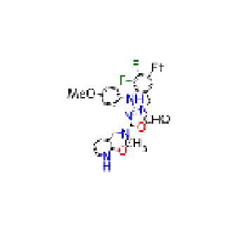 CCc1cc(CN(C=O)/C(=N\C(=O)N(C)Cc2ccc[nH]c2=O)Nc2ccc(OC)cc2)cc(F)c1F